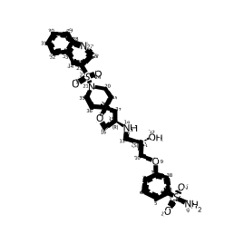 NS(=O)(=O)c1cccc(OC[C@@H](O)CN[C@H]2COC3(CCN(S(=O)(=O)c4cnc5ccccc5c4)CC3)C2)c1